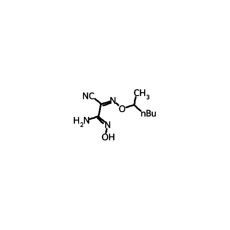 CCCCC(C)ON=C(C#N)C(N)=NO